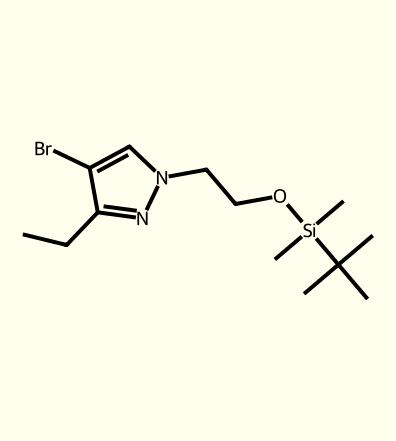 CCc1nn(CCO[Si](C)(C)C(C)(C)C)cc1Br